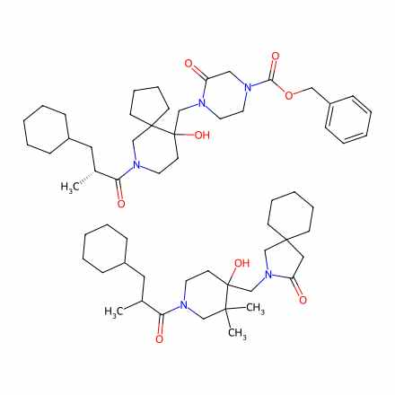 CC(CC1CCCCC1)C(=O)N1CCC(O)(CN2CC3(CCCCC3)CC2=O)C(C)(C)C1.C[C@H](CC1CCCCC1)C(=O)N1CCC(O)(CN2CCN(C(=O)OCc3ccccc3)CC2=O)C2(CCCC2)C1